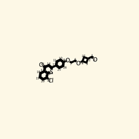 O=CC1CC(OCCOc2ccc(-c3cc(=O)c4cccc(Cl)c4s3)cc2)C1